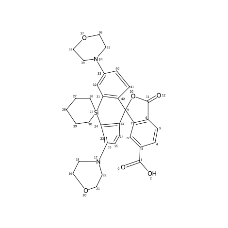 O=C(O)c1ccc2c(c1)C1(OC2=O)c2ccc(N3CCOCC3)cc2[Si]2(CCCCC2)c2cc(N3CCOCC3)ccc21